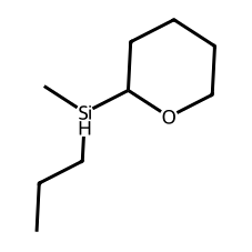 CCC[SiH](C)C1CCCCO1